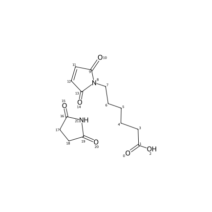 O=C(O)CCCCCN1C(=O)C=CC1=O.O=C1CCC(=O)N1